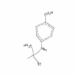 CCC(C)(Nc1ccc(C(=O)O)cc1)C(=O)O